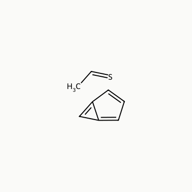 CC=S.c1cc2cc-2c1